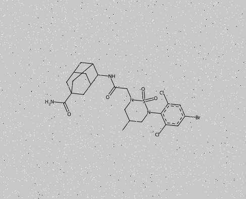 CC1CN(CC(=O)NC2C3CC4CC2CC(C(N)=O)(C4)C3)S(=O)(=O)N(c2c(Cl)cc(Br)cc2Cl)C1